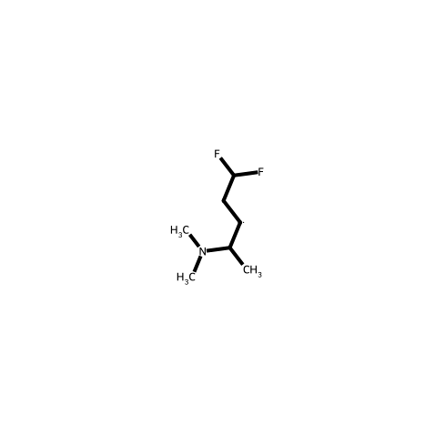 CC([CH]CC(F)F)N(C)C